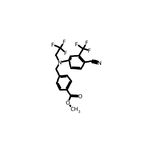 COC(=O)c1ccc(CN(CC(F)(F)F)c2ccc(C#N)c(C(F)(F)F)c2)cc1